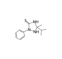 CC(C)C1(C)NC(=S)N(c2ccccc2)N1